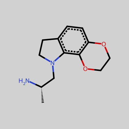 C[C@H](N)CN1CCc2ccc3c(c21)OCCO3